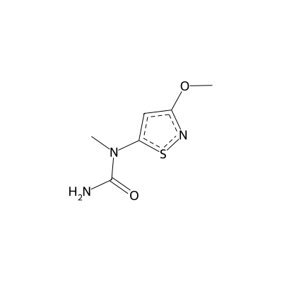 COc1cc(N(C)C(N)=O)sn1